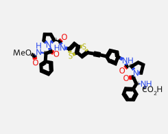 COC(=O)N[C@@H](C(=O)N1CCC[C@H]1C(=O)Nc1cc2sc(C#Cc3ccc(NC(=O)[C@@H]4CCCN4C(=O)[C@H](NC(=O)O)c4ccccc4)cc3)cc2s1)c1ccccc1